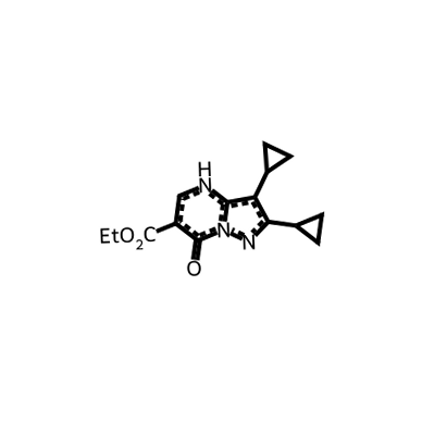 CCOC(=O)c1c[nH]c2c(C3CC3)c(C3CC3)nn2c1=O